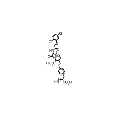 O=C(CSc1cc(Cl)ccc1Cl)N[C@H]1C(=O)N2C(C(=O)O)=C(CSc3cc[n+](CC(=NO)C(=O)O)cc3)CS[C@H]12